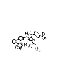 CCC(C)c1nc(C(C)C2CCC(C(=O)O)CC2)n(Cc2ccc(-c3ccccc3-c3nnn[nH]3)cc2)n1